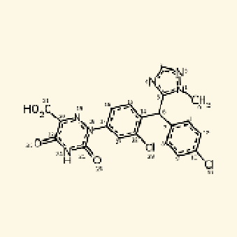 Cn1ncnc1C(c1ccc(Cl)cc1)c1ccc(-n2nc(C(=O)O)c(=O)[nH]c2=O)cc1Cl